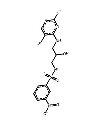 O=[N+]([O-])c1cccc(S(=O)(=O)NCC(O)CNc2nc(Cl)ncc2Br)c1